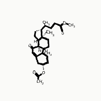 COC(=O)CC[C@@H](C)[C@H]1CC[C@H]2[C@@H]3C(=O)C=C4C[C@@H](OC(C)=O)CC[C@]4(C)[C@H]3CC[C@]12C